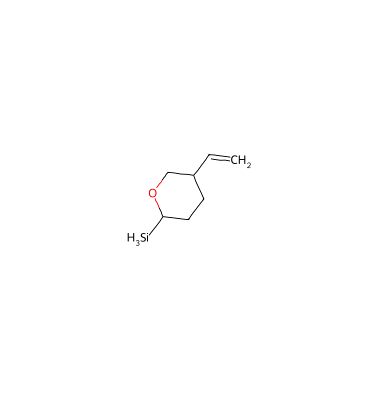 C=CC1CCC([SiH3])OC1